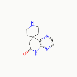 O=C1CC2(CCNCC2)c2nccnc2N1